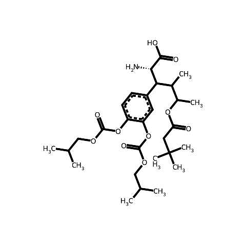 CC(C)COC(=O)Oc1ccc(C(C(C)C(C)OC(=O)CC(C)(C)C)[C@H](N)C(=O)O)cc1OC(=O)OCC(C)C